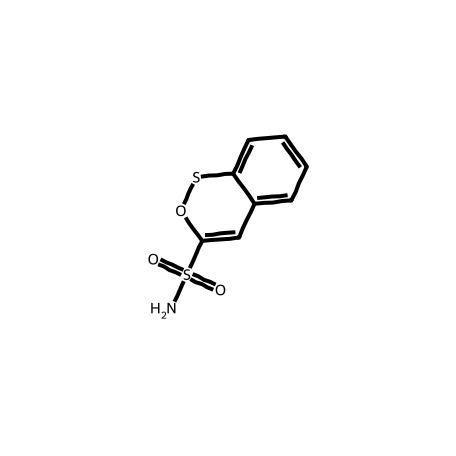 NS(=O)(=O)C1=Cc2ccccc2SO1